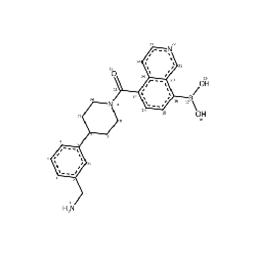 NCc1cccc(C2CCN(C(=O)c3ccc(B(O)O)c4cnccc34)CC2)c1